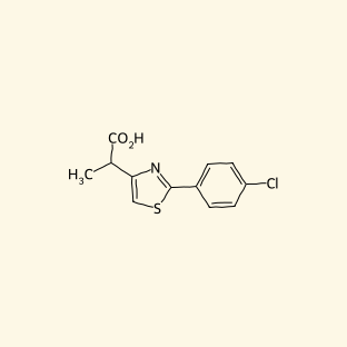 CC(C(=O)O)c1csc(-c2ccc(Cl)cc2)n1